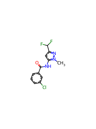 Cn1nc(C(F)F)cc1NC(=O)c1cccc(Cl)c1